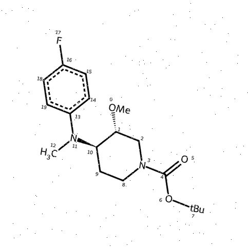 CO[C@@H]1CN(C(=O)OC(C)(C)C)CC[C@H]1N(C)c1ccc(F)cc1